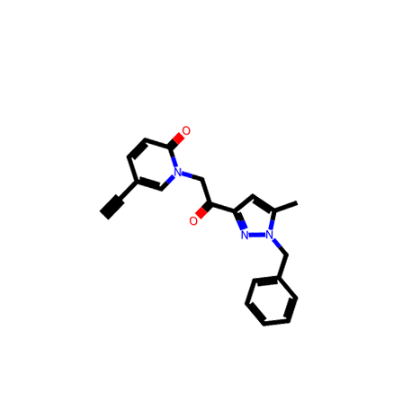 C#Cc1ccc(=O)n(CC(=O)c2cc(C)n(Cc3ccccc3)n2)c1